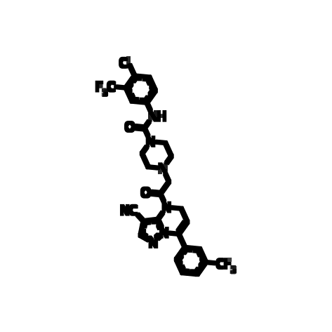 N#Cc1cnn2c1N(C(=O)CN1CCN(C(=O)Nc3ccc(Cl)c(C(F)(F)F)c3)CC1)CC=C2c1cccc(C(F)(F)F)c1